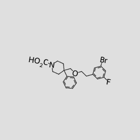 O=C(O)N1CCC(COCCc2cc(F)cc(Br)c2)(c2ccccc2)CC1